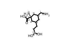 NCC1CC(CCB(O)O)C[C@](N)(C(=O)O)C1